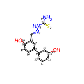 NC(=S)NN=Cc1cc(-c2cccc(O)c2)ccc1O